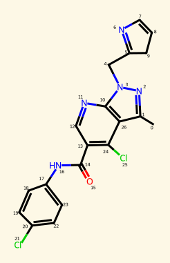 Cc1nn(CC2=NC=CC2)c2ncc(C(=O)Nc3ccc(Cl)cc3)c(Cl)c12